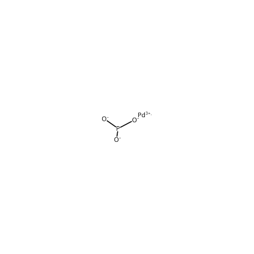 [O-]P([O-])[O-].[Pd+3]